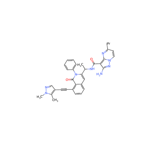 Cc1c(C#Cc2cccc3cc(C(C)NC(=O)c4c(N)nn5ccc(C(C)C)nc45)n(-c4ccccc4)c(=O)c23)cnn1C